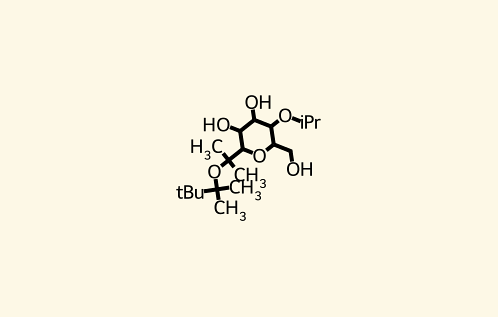 CC(C)OC1C(CO)OC(C(C)(C)OC(C)(C)C(C)(C)C)C(O)C1O